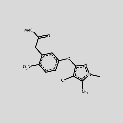 COC(=O)Cc1cc(Oc2nn(C)c(C(F)(F)F)c2Cl)ccc1[N+](=O)[O-]